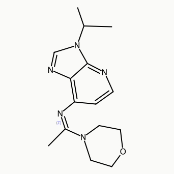 C/C(=N/c1ccnc2c1ncn2C(C)C)N1CCOCC1